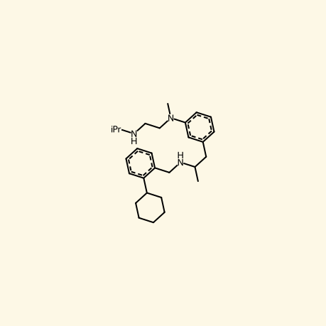 CC(C)NCCN(C)c1cccc(CC(C)NCc2ccccc2C2CCCCC2)c1